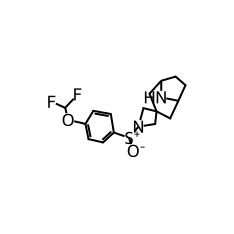 [O-][S+](c1ccc(OC(F)F)cc1)N1CC2(CC3CCC(C2)N3)C1